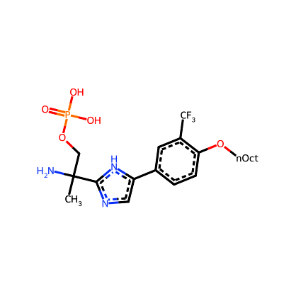 CCCCCCCCOc1ccc(-c2cnc(C(C)(N)COP(=O)(O)O)[nH]2)cc1C(F)(F)F